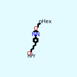 CCCCCCC=CCOc1cnc(-c2ccc(CCCCCOCCC)cc2)nc1